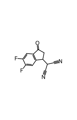 N#CC(C#N)C1CC(=O)c2cc(F)c(F)cc21